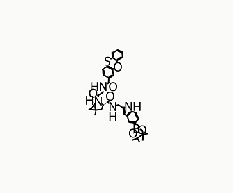 C[C@@H]1[C@@H]2N(C(=O)CNC(=O)c3ccc4c(c3)Oc3ccccc3S4)[C@H](C(=O)NCc3cc4cc(B5OC(C)(C)C(C)(C)O5)ccc4[nH]3)C[C@]12C